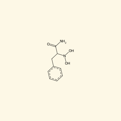 NC(=O)C(Cc1ccccc1)N(O)O